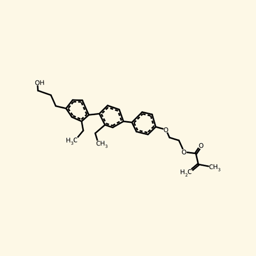 C=C(C)C(=O)OCCOc1ccc(-c2ccc(-c3ccc(CCCO)cc3CC)c(CC)c2)cc1